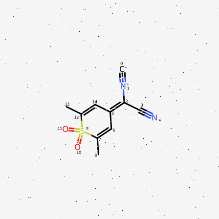 [C-]#[N+]C(C#N)=C1C=C(C)S(=O)(=O)C(C)=C1